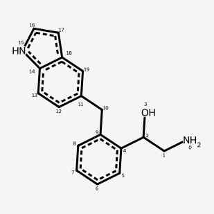 NCC(O)c1ccccc1Cc1ccc2[nH]ccc2c1